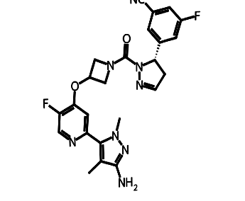 Cc1c(N)nn(C)c1-c1cc(OC2CN(C(=O)N3N=CC[C@H]3c3cc(F)cc(C#N)c3)C2)c(F)cn1